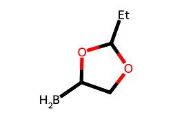 BC1COC(CC)O1